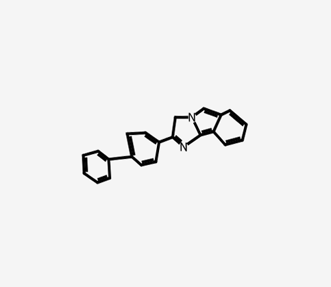 c1ccc(-c2ccc(C3=Nc4c5ccccc5cn4C3)cc2)cc1